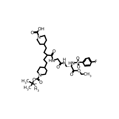 CCOC(=O)[C@H](CNC(=O)CNC(=O)C(CCC1CCN(C(=O)O)CC1)CCC1CCN(C(=O)OC(C)(C)C)CC1)NS(=O)(=O)c1ccc(F)cc1